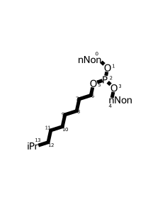 CCCCCCCCCOP(OCCCCCCCCC)OCCCCCCCC(C)C